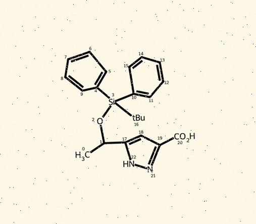 CC(O[Si](c1ccccc1)(c1ccccc1)C(C)(C)C)c1cc(C(=O)O)n[nH]1